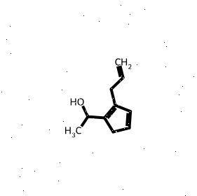 C=CCC1=C(C(C)O)CC=C1